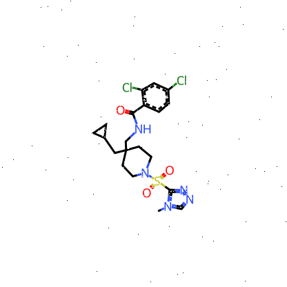 Cn1cnnc1S(=O)(=O)N1CCC(CNC(=O)c2ccc(Cl)cc2Cl)(CC2CC2)CC1